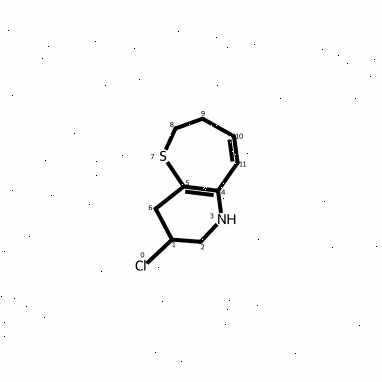 ClC1CNC2=C(C1)SCCC=C2